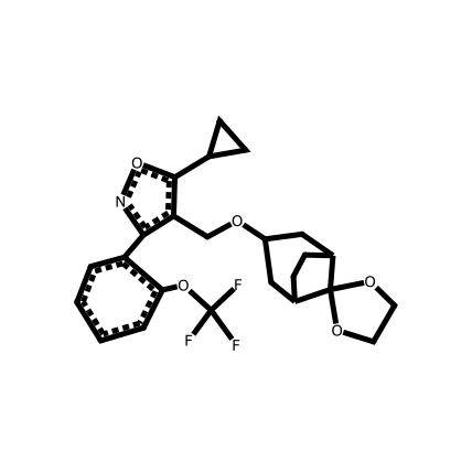 FC(F)(F)Oc1ccccc1-c1noc(C2CC2)c1COC1CC2CCC(C1)C21OCCO1